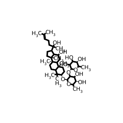 CC(C)=CCCC(C)(O)C1CC[C@]2(C)C1C(O)CC1[C@@]3(C)CC[C@H](O[C@@H]4OC(C)[C@@H](O)C(O)C4O[C@@H]4OC(C)[C@@H](O)C(O)C4O)C(C)(C)C3CC[C@]12C